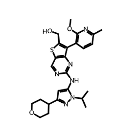 COc1nc(C)ccc1-c1c(CO)sc2cnc(Nc3cc(C4CCOCC4)nn3C(C)C)nc12